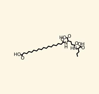 CCCC(NC(=O)CCC(NC(=O)CCCCCCCCCCCCCCCCC(=O)O)C(=O)O)C(=O)O